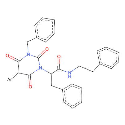 CC(=O)C1C(=O)N(Cc2ccccc2)C(=O)N(C(Cc2ccccc2)C(=O)NCCc2ccccc2)C1=O